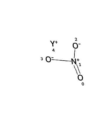 O=[N+]([O-])[O-].[Y+]